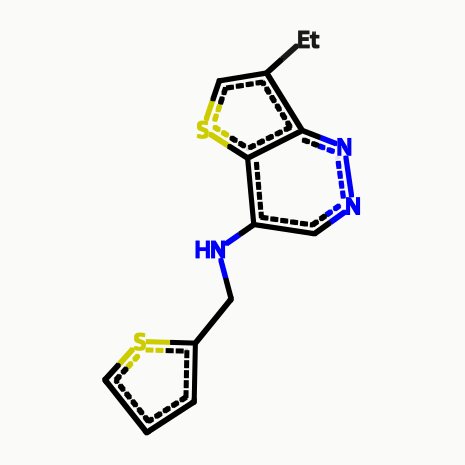 CCc1csc2c(NCc3cccs3)cnnc12